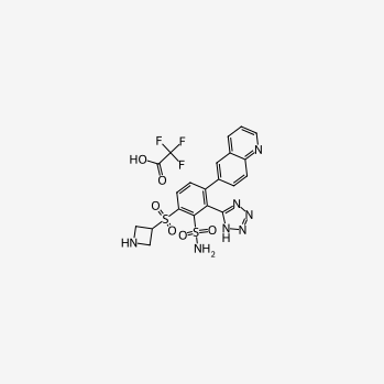 NS(=O)(=O)c1c(S(=O)(=O)C2CNC2)ccc(-c2ccc3ncccc3c2)c1-c1nnn[nH]1.O=C(O)C(F)(F)F